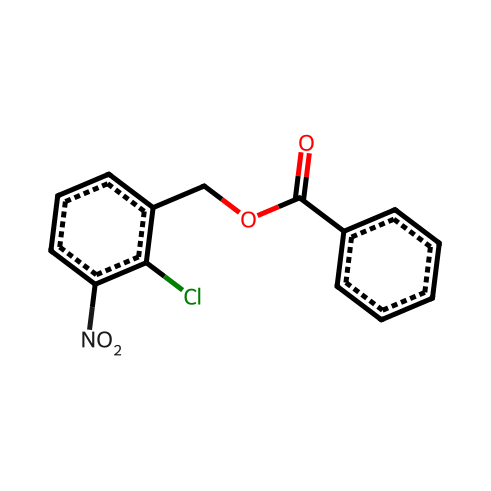 O=C(OCc1cccc([N+](=O)[O-])c1Cl)c1ccccc1